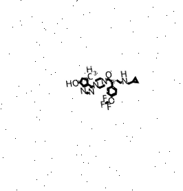 C[C@@H]1C[C@@H](O)c2ncnc(N3CCN(C(=O)[C@H](CCNCC4CC4)c4ccc(OC(F)(F)F)cc4)CC3)c21